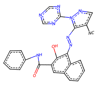 [C-]#[N+]c1cnn(-c2ncncn2)c1/N=N/c1c(O)c(C(=O)Nc2ccccc2)cc2ccccc12